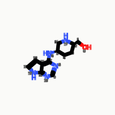 OC[C@H]1CC[C@@H](Nc2ncnc3[nH]ccc23)CN1